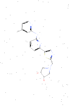 Cc1ccnc(Nc2cccc(-c3cnc(CN4C[C@@H](O)[C@@H](O)C4)s3)n2)c1